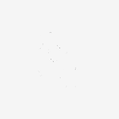 Cn1c(-c2ccccc2)c[n+]2ccccc12.[Br-]